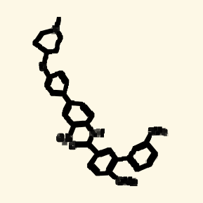 COc1cccc(-c2cc(C(=O)Nc3ccc(-c4ccc(OC5CCN(C)CC5)cc4)cc3[N+](=O)[O-])ccc2OC)c1